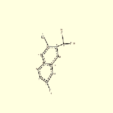 Fc1ccc2nc(Cl)c(C(F)F)cc2c1